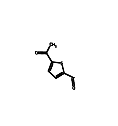 CC(=O)c1ccc([C]=O)s1